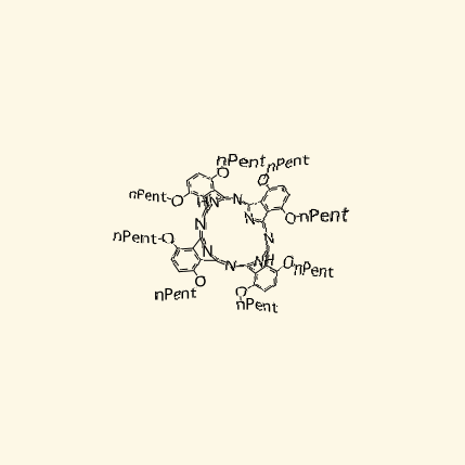 CCCCCOc1ccc(OCCCCC)c2c1-c1nc-2nc2[nH]c(nc3nc(nc4[nH]c(n1)c1c(OCCCCC)ccc(OCCCCC)c41)-c1c(OCCCCC)ccc(OCCCCC)c1-3)c1c(OCCCCC)ccc(OCCCCC)c21